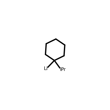 [Li][C]1(C(C)C)CCCCC1